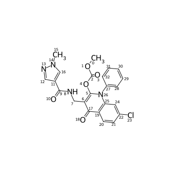 COC(=O)Oc1c(CNC(=O)c2cnn(C)c2)c(=O)c2ccc(Cl)cc2n1-c1ccccc1